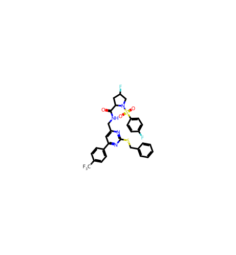 O=C(NCc1cc(-c2ccc(C(F)(F)F)cc2)nc(SCc2ccccc2)n1)C1CC(F)CN1S(=O)(=O)c1ccc(F)cc1